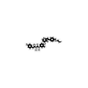 CCCNCc1ccc(-c2cc3nccc(Oc4ccc(NC(=S)NC(=O)Cc5ccc(F)cc5)cc4F)c3s2)cc1